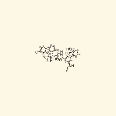 CCNc1cc(C(=O)N[C@@H](Cc2ccccc2)[C@H](O)CNC2(Cc3cccc(Cl)c3)CC2)cc(N2CCCCS2(O)O)c1